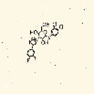 OCC1OC(Sc2ccc(Cl)c(Cl)c2)C(O)C(n2cc(-c3ccc(F)c(F)c3)nn2)C1O